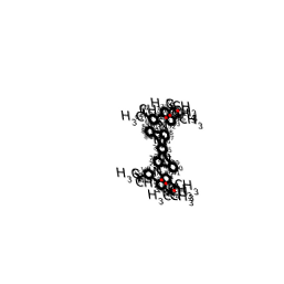 CC(C)c1ccc(N(c2ccc(C(C)C)cc2-c2ccc(C(C)(C)C)cc2)c2ccc3c4cc5c(cc4n4c6ccccc6c2c34)c2ccc(N(c3ccc(C(C)C)cc3)c3ccc(C(C)C)cc3-c3ccc(C(C)(C)C)cc3)c3c4ccccc4n5c23)cc1